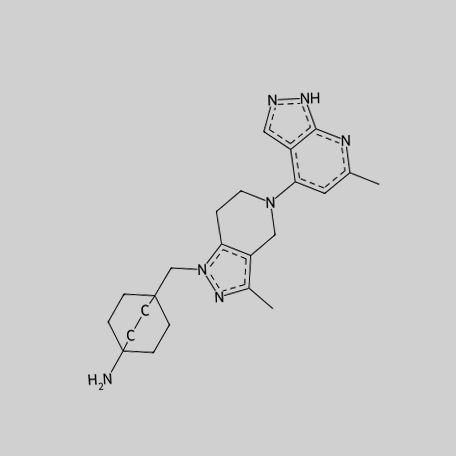 Cc1cc(N2CCc3c(c(C)nn3CC34CCC(N)(CC3)CC4)C2)c2cn[nH]c2n1